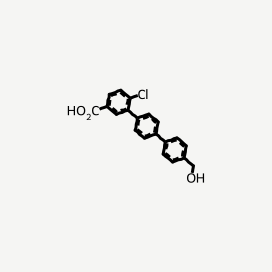 O=C(O)c1ccc(Cl)c(-c2ccc(-c3ccc(CO)cc3)cc2)c1